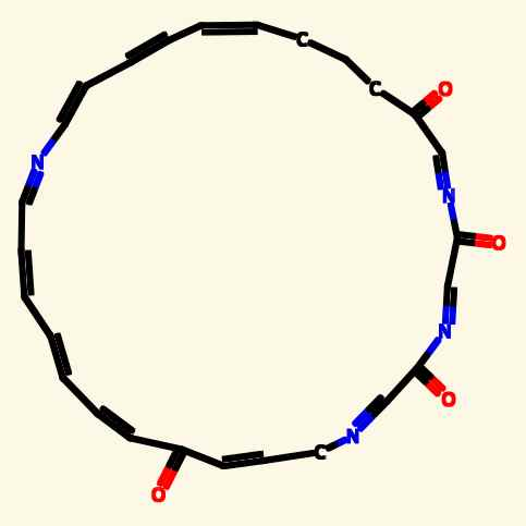 O=C1C=CC=CC=CC=NC=CC=CC=CCCCC(=O)C=NC(=O)C=NC(=O)C=NCC=C1